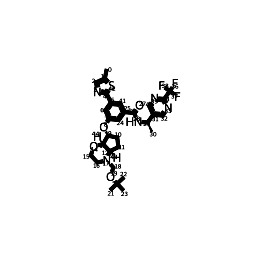 Cc1cnc(-c2cc(O[C@H]3CC[C@H]4[C@H]3OCCN4COC(C)(C)C)cc(C(=O)N[C@H](C)c3cnc(C(F)(F)F)nc3)c2)s1